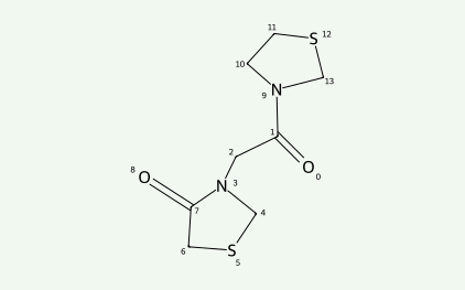 O=C(CN1CSCC1=O)N1CCSC1